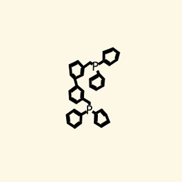 c1ccc(P(Cc2cccc(-c3cccc(CP(c4ccccc4)c4ccccc4)c3)c2)c2ccccc2)cc1